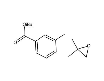 CC1(C)CO1.Cc1cccc(C(=O)OCC(C)C)c1